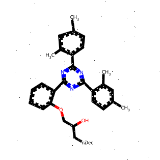 CCCCCCCCCCCC(O)COc1ccccc1-c1nc(-c2ccc(C)cc2C)nc(-c2ccc(C)cc2C)n1